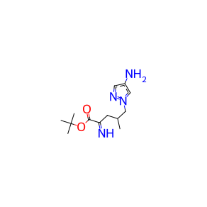 CC(CC(=N)C(=O)OC(C)(C)C)Cn1cc(N)cn1